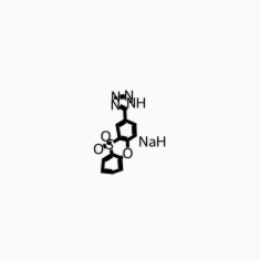 O=S1(=O)c2ccccc2Oc2ccc(-c3nnn[nH]3)cc21.[NaH]